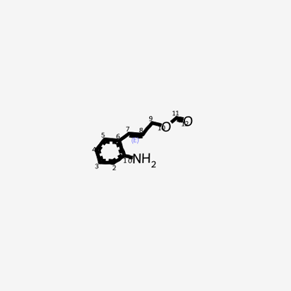 Nc1ccccc1/C=C/CO[C]=O